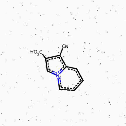 N#Cc1c(C(=O)O)cn2ccccc12